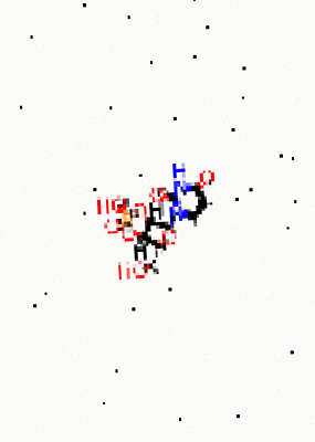 O=c1ccn([C@H]2O[C@H](CO)[C@H]3OP(=O)(O)O[C@H]32)c(=O)[nH]1